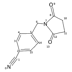 N#Cc1ccc(CN2C(=O)CCC2=O)cc1